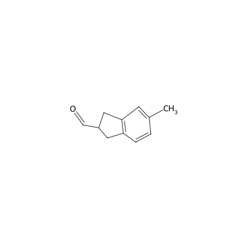 Cc1ccc2c(c1)CC(C=O)C2